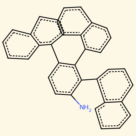 Nc1ccc(-c2cccc3ccccc23)c(-c2cccc3ccccc23)c1-c1cccc2ccccc12